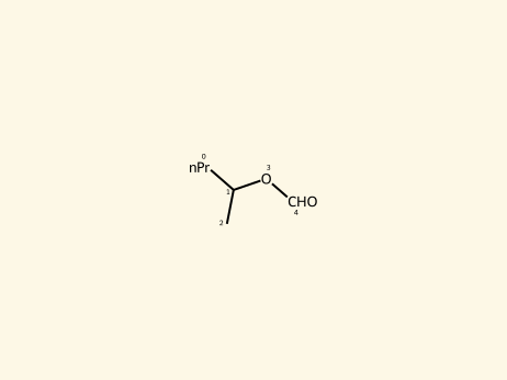 CCCC(C)OC=O